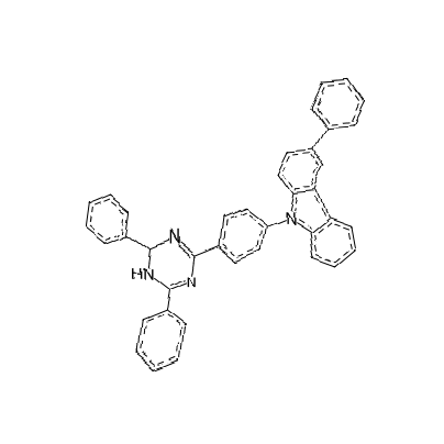 c1ccc(C2=NC(c3ccc(-n4c5ccccc5c5cc(-c6ccccc6)ccc54)cc3)=NC(c3ccccc3)N2)cc1